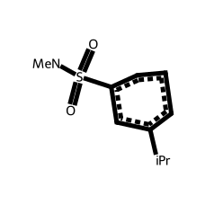 CNS(=O)(=O)c1cccc(C(C)C)c1